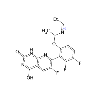 CC/C=N\C(C)Oc1ccc(F)c(F)c1-c1nc2[nH]c(=O)nc(O)c2cc1F